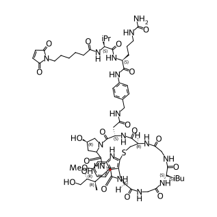 CC[C@H](C)[C@@H]1NC(=O)CNC(=O)[C@@H]2Cc3c([nH]c4cc(OC)ccc34)SC[C@H](NC(=O)CNC1=O)C(=O)N[C@@H](CC(=O)NCc1ccc(NC(=O)[C@H](CCCNC(N)=O)NC(=O)[C@@H](NC(=O)CCCCCN3C(=O)C=CC3=O)C(C)C)cc1)C(=O)N1C[C@H](O)CC1C(=O)N[C@@H]([C@@H](C)[C@@H](O)CO)C(=O)N2